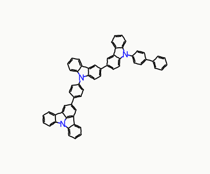 c1ccc(-c2ccc(-n3c4ccccc4c4cc(-c5ccc6c(c5)c5ccccc5n6-c5ccc(-c6cc7c8ccccc8n8c9ccccc9c(c6)c78)cc5)ccc43)cc2)cc1